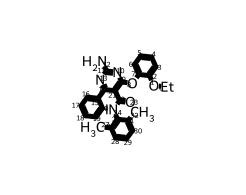 CCOc1ccccc1Oc1nc(N)nc(-c2ccccc2)c1C(=O)Nc1c(C)cccc1C